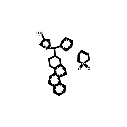 Nc1cnn(C(c2ccccc2)C2CCc3c(ccc4c3ccc3ccccc34)C2)c1.O=S1(=O)C=CC=CC1